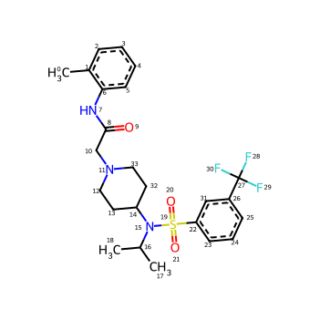 Cc1ccccc1NC(=O)CN1CCC(N(C(C)C)S(=O)(=O)c2cccc(C(F)(F)F)c2)CC1